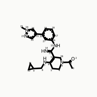 CC(=O)N1CCC(NCC2CC2)=C(C(=N)Nc2cccc(-c3cnn(C)c3)c2)C1